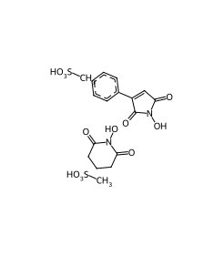 CS(=O)(=O)O.CS(=O)(=O)O.O=C1C=C(c2ccccc2)C(=O)N1O.O=C1CCCC(=O)N1O